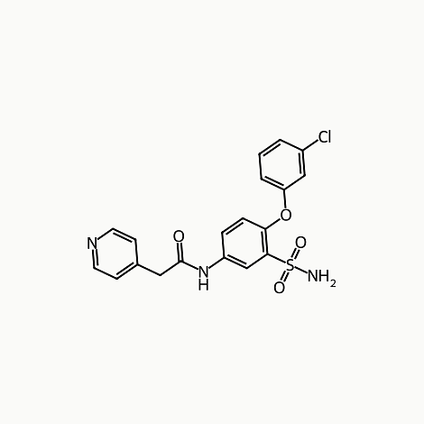 NS(=O)(=O)c1cc(NC(=O)Cc2ccncc2)ccc1Oc1cccc(Cl)c1